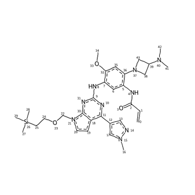 C=CC(=O)Nc1cc(Nc2nc(-c3cnn(C)c3)c3ccn(COCC[Si](C)(C)C)c3n2)c(OC)cc1N1CC(N(C)C)C1